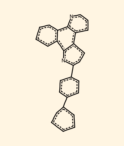 c1ccc(-c2ccc(-c3ccc4c5cccnc5c5ccccc5c4n3)cc2)cc1